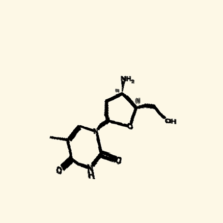 Cc1cn(C2C[C@H](N)[C@@H](CO)O2)c(=O)[nH]c1=O